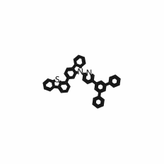 C1=CC2SC3=C(C4=CC=C5C6C=CC=CC6N(c6ccc(-c7cc(-c8ccccc8)cc(-c8ccccc8)c7)cn6)C5C4)CCC=C3C2C=C1